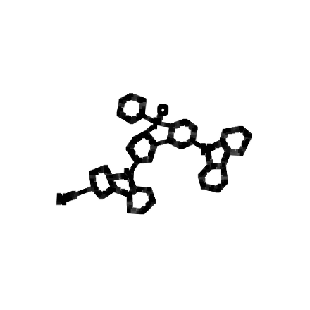 N#Cc1ccc2c(c1)c1ccccc1n2-c1ccc2c(c1)-c1cc(-n3c4ccccc4c4ccccc43)ccc1P2(=O)c1ccccc1